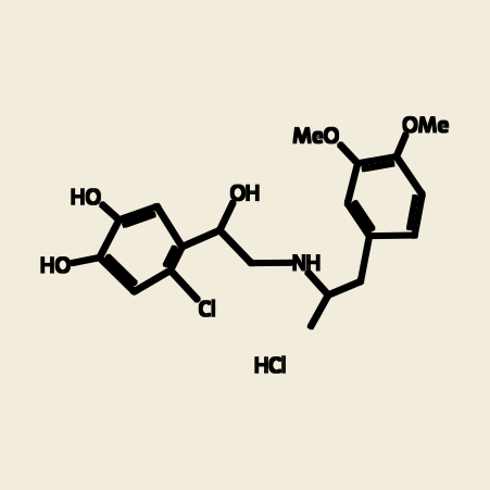 COc1ccc(CC(C)NCC(O)c2cc(O)c(O)cc2Cl)cc1OC.Cl